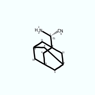 N#C[C@@H](N)C12CC3CC(CC(C3)C1)C2